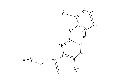 CCOC(=O)CCC(=O)c1nc(Cc2c(C)cccc2Cl)ccc1O